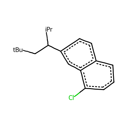 CC(C)C(CC(C)(C)C)c1ccc2cccc(Cl)c2c1